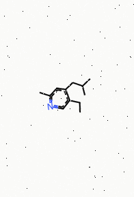 CCc1cnc(C)cc1CC(C)C